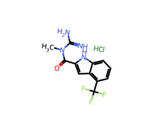 CN(C(=N)N)C(=O)c1cc2c(C(F)(F)F)cccc2[nH]1.Cl